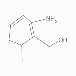 CC1CC=CC(N)=C1CO